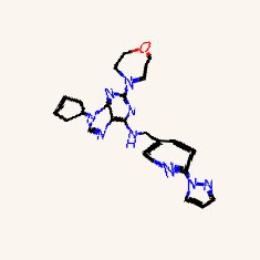 c1cnn(-c2ccc(CNc3nc(N4CCOCC4)nc4c3ncn4C3CCCC3)cn2)c1